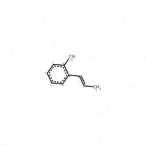 C/C=C/c1ccccc1C#N